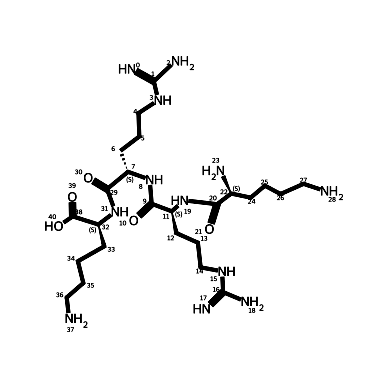 N=C(N)NCCC[C@H](NC(=O)[C@H](CCCNC(=N)N)NC(=O)[C@@H](N)CCCCN)C(=O)N[C@@H](CCCCN)C(=O)O